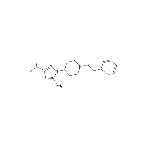 CC(C)c1cc(N)n(C2CCN(OCc3ccccc3)CC2)n1